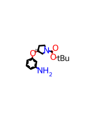 CC(C)(C)OC(=O)N1CC[C@H](Oc2cccc(N)c2)C1